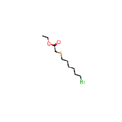 CCOC(=O)CSCCCCCCBr